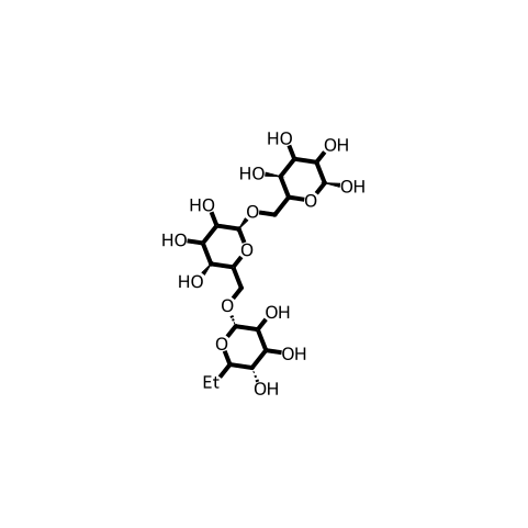 CCC1O[C@H](OCC2O[C@H](OCC3O[C@H](O)C(O)C(O)[C@@H]3O)C(O)C(O)[C@@H]2O)C(O)C(O)[C@@H]1O